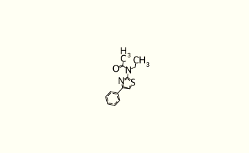 CCN(C(C)=O)c1nc(-c2ccccc2)cs1